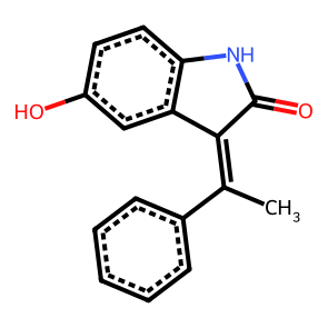 CC(=C1C(=O)Nc2ccc(O)cc21)c1ccccc1